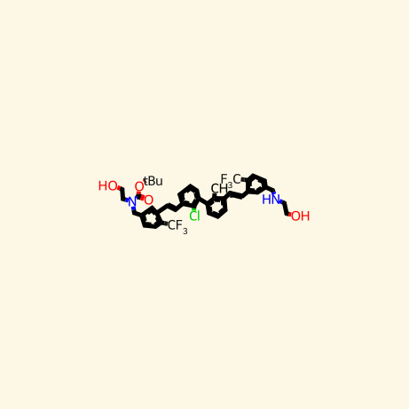 Cc1c(/C=C/c2cc(CNCCO)ccc2C(F)(F)F)cccc1-c1cccc(/C=C/c2cc(CN(CCO)C(=O)OC(C)(C)C)ccc2C(F)(F)F)c1Cl